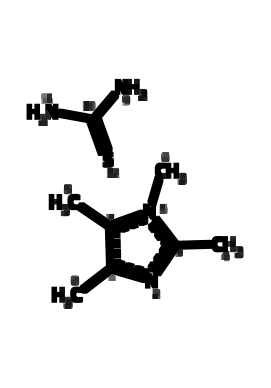 Cc1nc(C)n(C)c1C.NC(N)=S